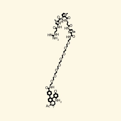 CC(=O)N1c2ccc(-c3ccc(C(=O)NCCOCCOCCOCCOCCOCCOCCOCCOCCNC(=O)c4nc(NC(=O)CCNC(=O)c5c(NC(=O)c6nc(NC(=O)CCNC(=N)N)cn6C)ccn5C)cn4C)cc3)c(-c3cc(Cl)ccc3N)c2CC[C@@H]1C